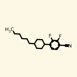 CCCCCCC1CCC(c2ccc(C#N)c(F)c2F)CC1